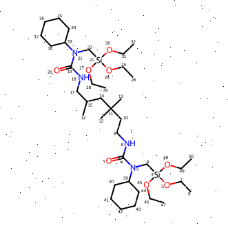 CCO[Si](CN(C(=O)NCCC(C)(C)CC(C)CNC(=O)N(C[Si](OCC)(OCC)OCC)C1CCCCC1)C1CCCCC1)(OCC)OCC